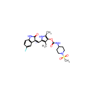 Cc1[nH]c(/C=C2\C(=O)Nc3ccc(F)cc32)c(C)c1OC(=O)NC1CCN(S(C)(=O)=O)CC1